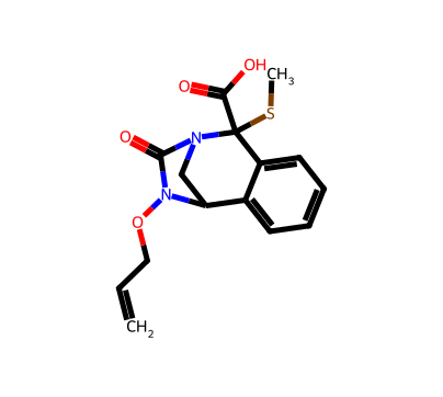 C=CCON1C(=O)N2CC1c1ccccc1C2(SC)C(=O)O